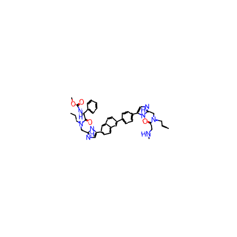 CCCN(Cc1ncc(-c2ccc(-c3ccc4cc(-c5cnc(CN(CCC)C(=O)[C@H](NC(=O)OC)c6ccccc6)[nH]5)ccc4c3)cc2)[nH]1)C(=O)CNC